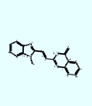 C=C1NC(/C=C/c2nc3ccccc3n2C)=Nc2ccccc21